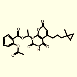 CC(=O)Oc1ccccc1C(=O)OC(C)n1c(=O)[nH]c(=O)c2c(CCCC3(C)CC3)cc(=O)oc21